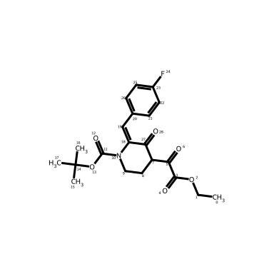 CCOC(=O)C(=O)C1CCN(C(=O)OC(C)(C)C)C(=Cc2ccc(F)cc2)C1=O